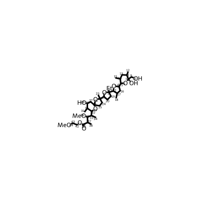 CCC1(C2OC(C3OC(O)(CO)C(C)CC3C)CC2C)CCC(C2(C)CCC3(CC(O)C(C)C(C(C)C(OC)C(C)C(=O)OCCOC)O3)O2)O1